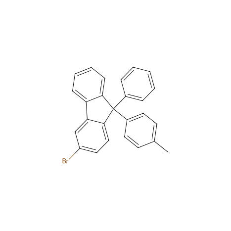 Cc1ccc(C2(c3ccccc3)c3ccccc3-c3cc(Br)ccc32)cc1